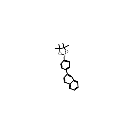 CC1(C)ON(c2ccc(-c3ccc4ccccc4c3)cc2)OC1(C)C